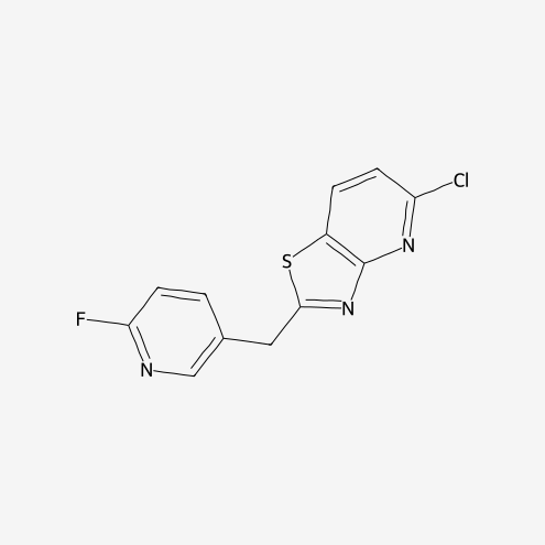 Fc1ccc(Cc2nc3nc(Cl)ccc3s2)cn1